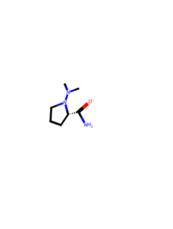 CN(C)N1CCC[C@H]1C(N)=O